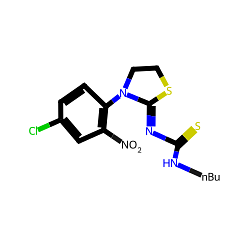 CCCCNC(=S)N=C1SCCN1c1ccc(Cl)cc1[N+](=O)[O-]